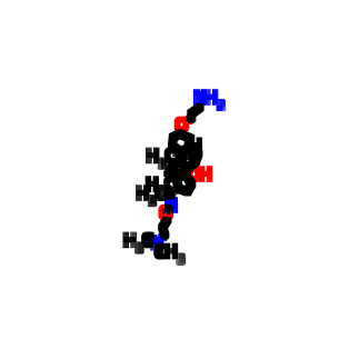 C/C(=N\OCCCN(C)C)[C@H]1CC[C@]2(O)[C@@H]3CC[C@@H]4C[C@@H](OCCCN)CC[C@]4(C)[C@H]3CC[C@]12C